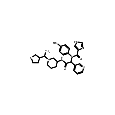 CC(C1CCOC1)N1CCCC(NC(=O)C(c2cccnc2)N(C(=O)c2c[nH]cn2)c2ccc(C(C)(C)C)cc2)C1